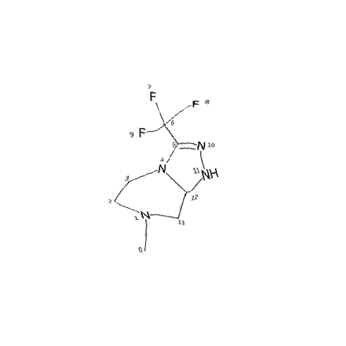 CN1CCN2C(C(F)(F)F)=NNC2C1